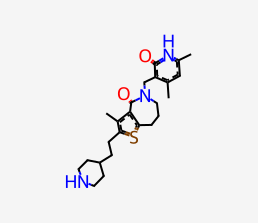 Cc1cc(C)c(CN2CCCc3sc(CCC4CCNCC4)c(C)c3C2=O)c(=O)[nH]1